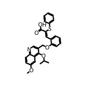 COc1ccc2ncc(COc3ccccc3C=C(Sc3ccccc3)C(=O)O)c(OC(C)C)c2c1